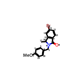 COc1ccc(CN2C(=O)c3ccc(Br)cc3C2C)cc1